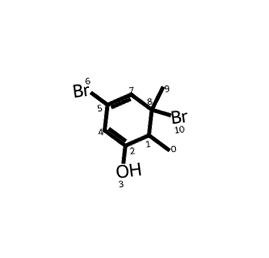 CC1C(O)=CC(Br)=CC1(C)Br